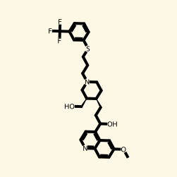 COc1ccc2nccc(C(O)CC[C@@H]3CCN(CCCSc4cccc(C(F)(F)F)c4)C[C@@H]3CO)c2c1